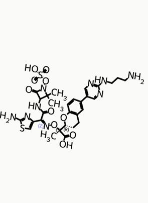 CC1(C)C(NC(=O)/C(=N\O[C@](C)(C(=O)O)[C@H]2CCc3cc(-c4cnc(NCCCN)nc4)ccc3O2)c2csc(N)n2)C(=O)N1OS(=O)(=O)O